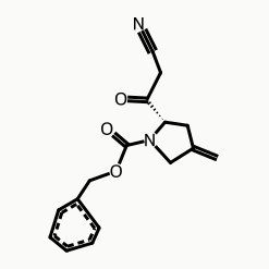 C=C1C[C@@H](C(=O)CC#N)N(C(=O)OCc2ccccc2)C1